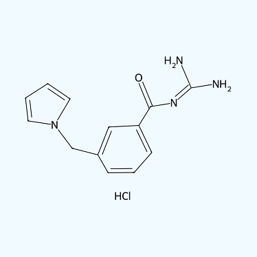 Cl.NC(N)=NC(=O)c1cccc(Cn2cccc2)c1